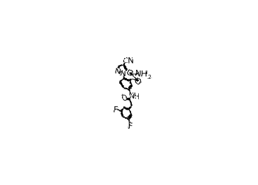 N#Cc1cnn(-c2ccc(NC(=O)Cc3cc(F)cc(F)c3)cc2S(N)(=O)=O)c1